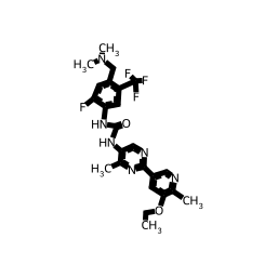 CCOc1cc(-c2ncc(NC(=O)Nc3cc(C(F)(F)F)c(CN(C)C)cc3F)c(C)n2)cnc1C